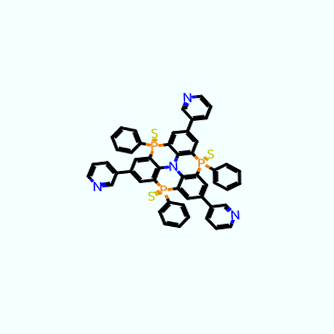 S=P1(c2ccccc2)c2cc(-c3cccnc3)cc3c2N2c4c1cc(-c1cccnc1)cc4P(=S)(c1ccccc1)c1cc(-c4cccnc4)cc(c12)P3(=S)c1ccccc1